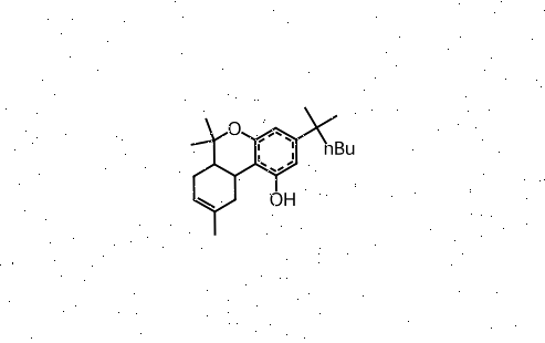 CCCCC(C)(C)c1cc(O)c2c(c1)OC(C)(C)C1CC=C(C)CC21